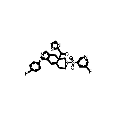 O=C(c1nccs1)C12Cc3cnn(-c4ccc(F)cc4)c3C=C1CCN(S(=O)(=O)c1cncc(F)c1)C2